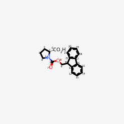 O=C(O)[C@H]1CCCN1C(=O)OCC1c2ccccc2-c2ccccc21